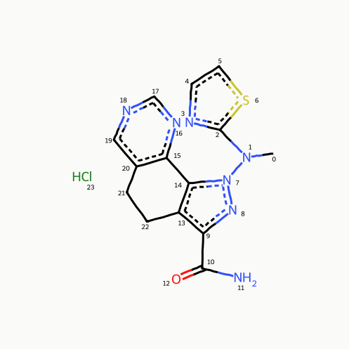 CN(c1nccs1)n1nc(C(N)=O)c2c1-c1ncncc1CC2.Cl